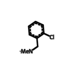 C[N]Cc1ccccc1Cl